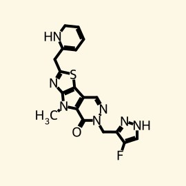 Cn1c2nc(CC3=CC=CCN3)sc2c2cnn(Cc3n[nH]cc3F)c(=O)c21